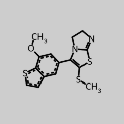 COc1cc(C2=C(SC)SC3=NCCN32)cc2ccsc12